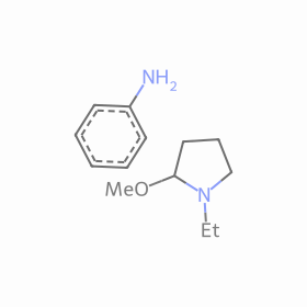 CCN1CCCC1OC.Nc1ccccc1